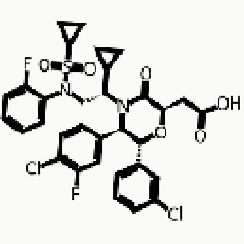 O=C(O)C[C@H]1O[C@H](c2cccc(Cl)c2)[C@@H](c2ccc(Cl)c(F)c2)N([C@H](CN(c2ccccc2F)S(=O)(=O)C2CC2)C2CC2)C1=O